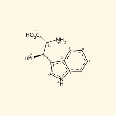 CCC[C@H](c1c[nH]c2ccccc12)[C@@H](N)C(=O)O